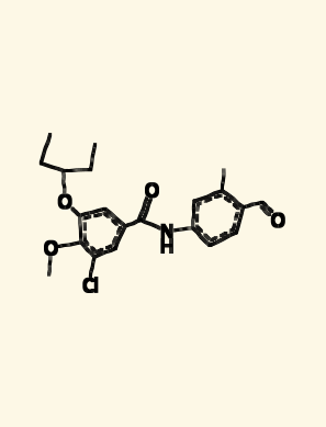 CCC(CC)Oc1cc(C(=O)Nc2ccc(C=O)c(C)c2)cc(Cl)c1OC